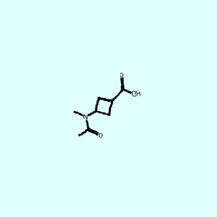 CC(=O)N(C)C1CC(C(=O)O)C1